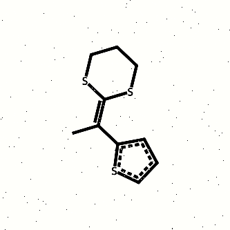 CC(=C1SCCCS1)c1cccs1